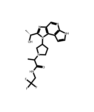 CC(C(=O)NCC(F)(F)F)N1CCC(n2c([C@@H](C)O)nc3cnc4[nH]ccc4c32)C1